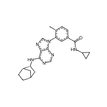 Cc1ccc(C(=O)NC2CC2)cc1-n1cnc2c(NC3CC4CCC3C4)ncnc21